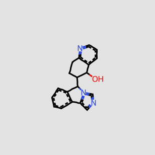 OC1c2cccnc2CCC1C1c2ccccc2-c2cncn21